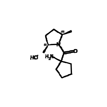 C[C@@H]1CC[C@H](C)N1C(=O)C1(N)CCCC1.Cl